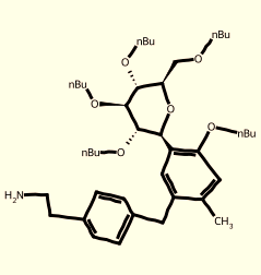 CCCCOC[C@H]1O[C@@H](c2cc(Cc3ccc(CCN)cc3)c(C)cc2OCCCC)[C@H](OCCCC)[C@@H](OCCCC)[C@@H]1OCCCC